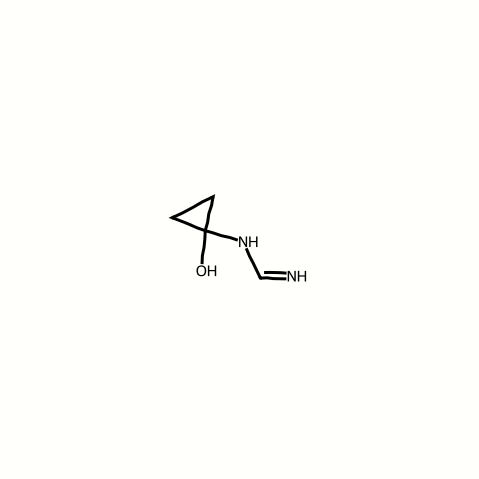 N=CNC1(O)CC1